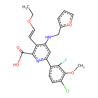 CCOC=Cc1c(NCc2ccco2)cc(-c2ccc(Cl)c(OC)c2F)nc1C(=O)O